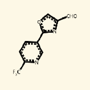 O=Cc1coc(-c2ccc(C(F)(F)F)nc2)n1